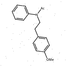 COc1ccc(CCN(C(C)=O)c2ccccc2)cc1